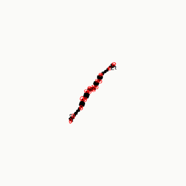 CCC1(COCCCCCCOc2ccc(C(=O)Oc3ccc(C(=O)OC4COC5C(OC(=O)c6ccc(OC(=O)c7ccc(OCCCCCCOCC8(CC)COC8)cc7)cc6)COC45)cc3)cc2)COC1